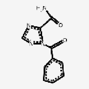 NC(=O)c1ncnn1C(=O)c1ccccc1